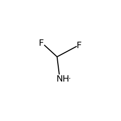 [NH]C(F)F